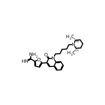 C[C@@H]1CCC[C@H](C)N1CCCCCn1c(=O)c(-c2ccc(C(=N)N)o2)cc2ccccc21